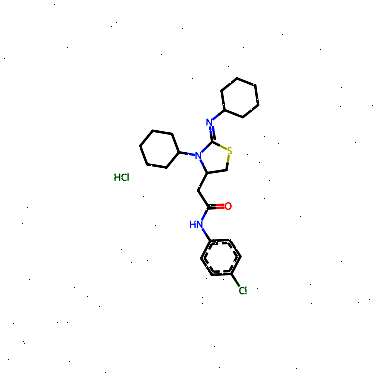 Cl.O=C(CC1CS/C(=N\C2CCCCC2)N1C1CCCCC1)Nc1ccc(Cl)cc1